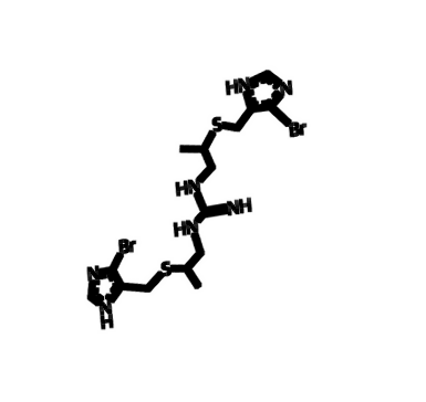 CC(CNC(=N)NCC(C)SCc1[nH]cnc1Br)SCc1[nH]cnc1Br